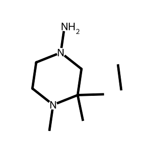 CC.CN1CCN(N)CC1(C)C